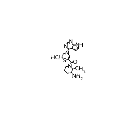 C[C@H]1[C@H](N)CCCN1C(=O)C1=CN(c2ncnc3[nH]ccc23)CCS1.Cl